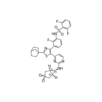 O=S1(=O)C[C@@H]2[C@H](C1)[C@H]2Nc1nccc(-c2sc(C34CCC(CC3)C4)nc2-c2cccc(NS(=O)(=O)c3c(F)cccc3F)c2F)n1